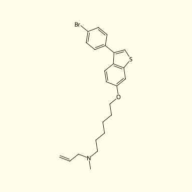 C=CCN(C)CCCCCCOc1ccc2c(-c3ccc(Br)cc3)csc2c1